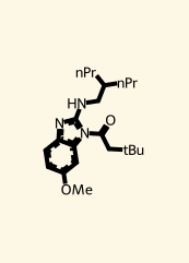 CCCC(CCC)CNc1nc2ccc(OC)cc2n1C(=O)CC(C)(C)C